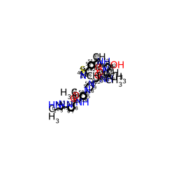 CCc1cc(-c2cccc(C(=O)Nc3ccc(N4CCN(CCC(=O)N[C@H](C(=O)N5C[C@H](O)C[C@H]5C(=O)N[C@@H](C)c5ccc(-c6scnc6C)cc5)C(C)(C)C)CC4)cc3OC)n2)n[nH]1